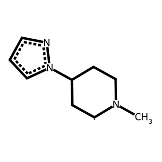 CN1[CH]CC(n2cccn2)CC1